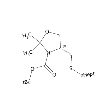 CCCCCCCSC[C@H]1COC(C)(C)N1C(=O)OC(C)(C)C